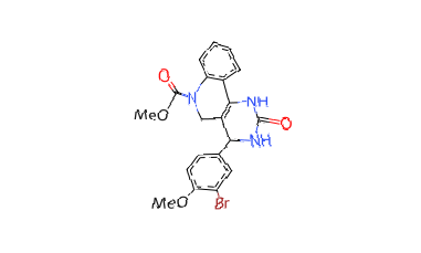 COC(=O)N1CC2=C(NC(=O)NC2c2ccc(OC)c(Br)c2)c2ccccc21